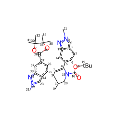 CC1CC=C(c2ccc3cn(C)nc3c2)N(C(=O)OC(C)(C)C)C1.Cn1cc2ccc(B3OC(C)(C)C(C)(C)O3)cc2n1